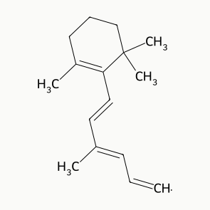 [CH]=CC=C(C)C=CC1=C(C)CCCC1(C)C